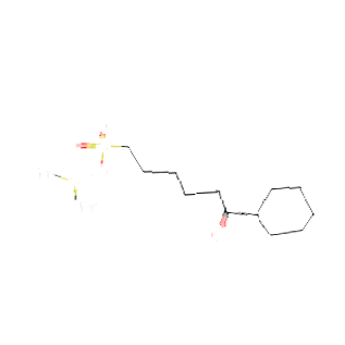 CC(C)[S+](OS(=O)(=O)CCCCCC(=O)C1CCCCC1)C(C)C